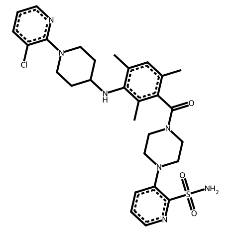 Cc1cc(C)c(C(=O)N2CCN(c3cccnc3S(N)(=O)=O)CC2)c(C)c1NC1CCN(c2ncccc2Cl)CC1